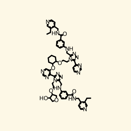 CCc1cnccc1CNC(=O)c1cccc(NCc2nnc(-c3ccncn3)n2CCOC2CCCCC2Oc2cncnc2-c2nnc(CNc3cccc(C(=O)NCc4ccncc4CC)c3)n2CCOC2COCC2O)c1